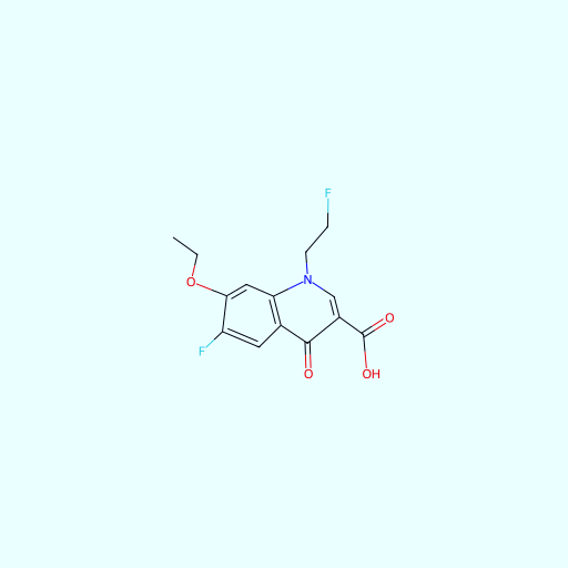 CCOc1cc2c(cc1F)c(=O)c(C(=O)O)cn2CCF